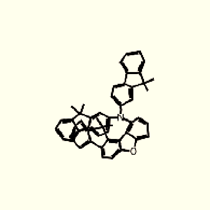 CC1(C)c2ccccc2-c2ccc(N(c3ccc4c(c3)C(C)(C)c3ccccc3-4)c3cccc4oc5ccc6c(c5c34)C(C)(C)c3ccccc3-6)cc21